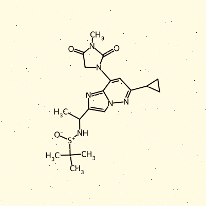 CC(N[S+]([O-])C(C)(C)C)c1cn2nc(C3CC3)cc(N3CC(=O)N(C)C3=O)c2n1